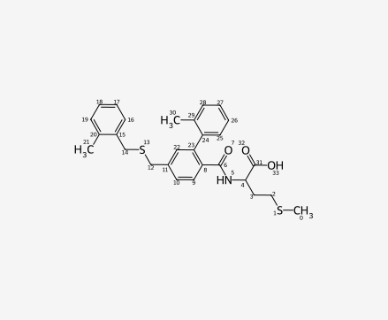 CSCCC(NC(=O)c1ccc(CSCc2ccccc2C)cc1-c1ccccc1C)C(=O)O